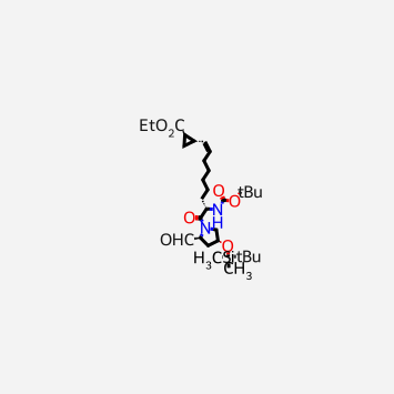 CCOC(=O)[C@H]1C[C@H]1/C=C\CCCCC[C@H](NC(=O)OC(C)(C)C)C(=O)N1C[C@H](O[Si](C)(C)C(C)(C)C)C[C@H]1C=O